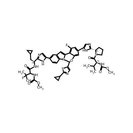 COC(=O)NC(C(=O)N[C@@H](CC1CC1)c1ncc(-c2ccc3c(c2)cc2n3C(c3cnc(C4CC4)s3)Oc3cc(-c4cnc([C@@H]5CCCN5C(=O)[C@@H](NC(=O)OC)C(C)C)[nH]4)cc(F)c3-2)[nH]1)C(C)(C)F